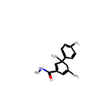 CC(C)(C)NC(=O)C1=CC(c2ccc(C(F)(F)F)cc2)([N+](=O)[O-])CC([N+](=O)[O-])=C1